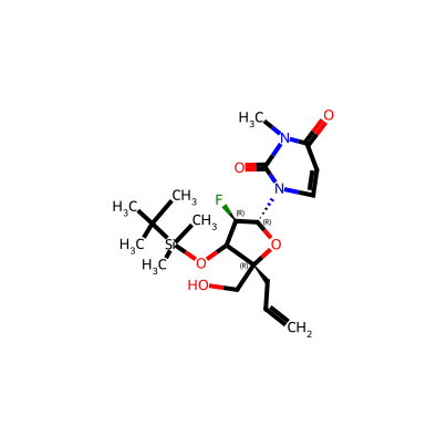 C=CC[C@]1(CO)O[C@@H](n2ccc(=O)n(C)c2=O)[C@H](F)C1O[Si](C)(C)C(C)(C)C